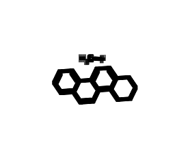 CF.c1ccc2c(c1)ccc1c3c(ccc12)CCCC3